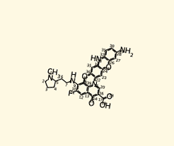 CN1CCCC1CCNc1c(F)cc2c(=O)c(C(=O)O)cn3c4cc5oc6cc(N)ccc6[nH]c5cc4oc1c23